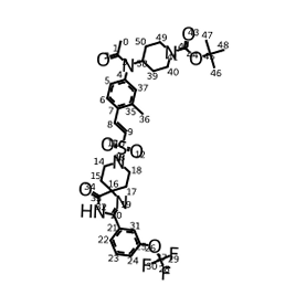 CC(=O)N(c1ccc(C=CS(=O)(=O)N2CCC3(CC2)N=C(c2cccc(OC(F)(F)F)c2)NC3=O)c(C)c1)C1CCN(C(=O)OC(C)(C)C)CC1